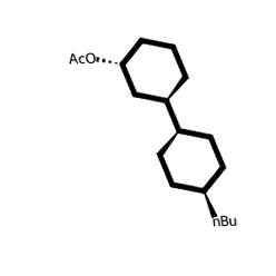 CCCC[C@H]1CC[C@@H]([C@@H]2CCC[C@@H](OC(C)=O)C2)CC1